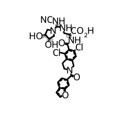 N#CN[C@H](NC[C@H](NC(=O)c1c(Cl)cc2c(c1Cl)CCN(C(=O)c1ccc3ccoc3c1)C2)C(=O)O)N1C[C@@H](O)[C@H](O)C1